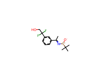 C/C(=N\[S+]([O-])C(C)(C)C)c1cccc(C(F)(F)CO)c1